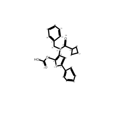 O=C(O)Oc1sc(-c2ccccc2)cc1N(Cc1ccccc1)C(=O)C1CCC1